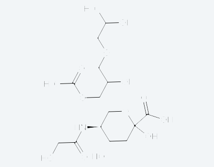 CC(=O)OC(C(O)COCC(C)O)[C@@H]1OC(O)(C(=O)O)C[C@H](O)[C@H]1NC(=O)CO